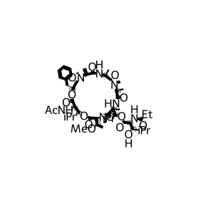 C=C1C(=O)N[C@@H](C)C(=O)N(C)[C@@H](C)C(=O)N[C@](C)([C@@H](OC(=O)[C@@H](NC(=O)CC)[C@H](O)C(C)C)C(C)C)C(=O)N(C)[C@@H]([C@H](C)OC)C(=O)O[C@H](C(C)C)[C@H](NC(C)=O)C(=O)O[C@H](Cc2ccccc2)C(=O)N1C